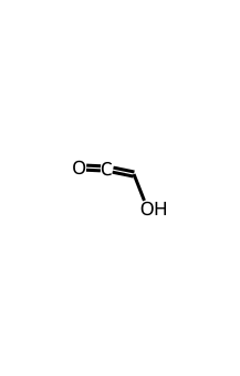 O=C=CO